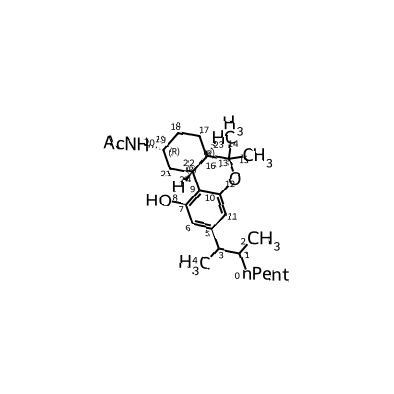 CCCCCC(C)C(C)c1cc(O)c2c(c1)OC(C)(C)[C@@H]1CC[C@@H](NC(C)=O)C[C@@H]21